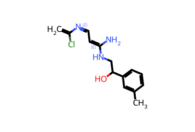 C=C(Cl)/N=C\C=C(/N)NCC(O)c1cccc(C)c1